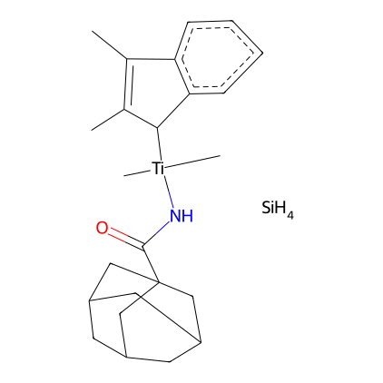 CC1=C(C)[CH]([Ti]([CH3])([CH3])[NH]C(=O)C23CC4CC(CC(C4)C2)C3)c2ccccc21.[SiH4]